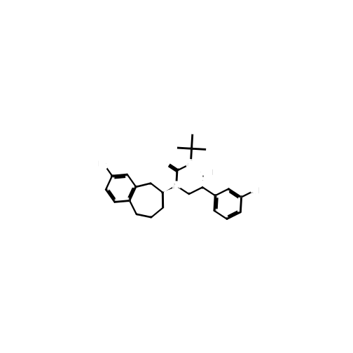 CC(C)(C)OC(=O)N(C[C@H](O)c1cccc(Cl)c1)[C@H]1CCCc2ccc(O)cc2C1